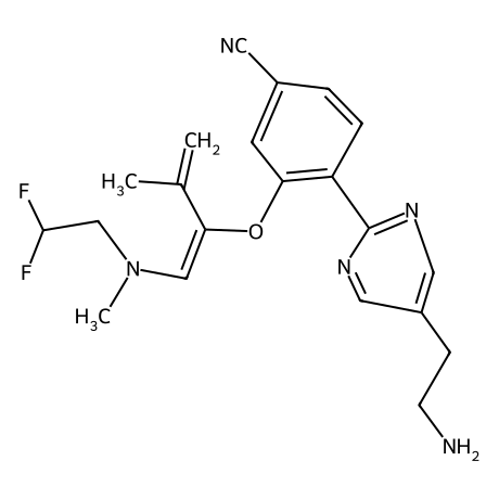 C=C(C)/C(=C\N(C)CC(F)F)Oc1cc(C#N)ccc1-c1ncc(CCN)cn1